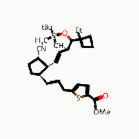 CCC1(C(C/C=C/[C@@H]2[C@@H](CCCc3ccc(C(=O)OC)s3)CC[C@@H]2C#N)O[Si](C)(C)C(C)(C)C)CCC1